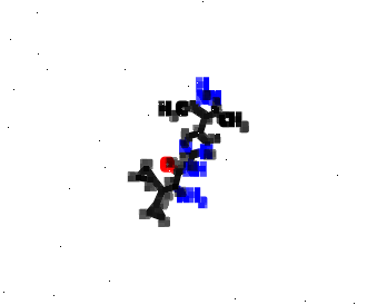 Cc1n[nH]c(C)c1-c1cnc(NC(=O)[C@@H](N)C(C2CC2)C2CC2)nc1